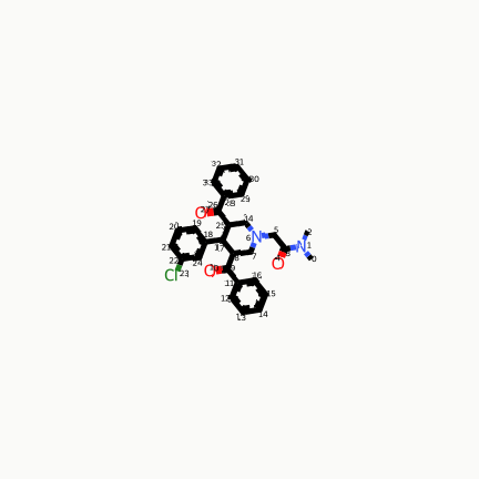 CN(C)C(=O)CN1CC(C(=O)c2ccccc2)C(c2cccc(Cl)c2)C(C(=O)c2ccccc2)C1